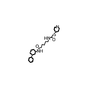 O=C(CSc1ccncc1)NCCCCCC(=O)Nc1cccc(-c2ccccc2)c1